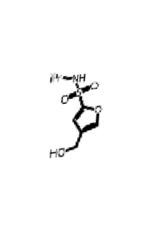 CC(C)NS(=O)(=O)c1cc(CO)co1